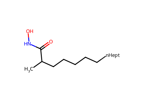 CCCCCCCCCCCCC(C)C(=O)NO